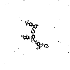 CC(Oc1ccc(SNC(=O)c2ccc(N3CCN(CC4=C(c5ccc(C(F)(F)F)cc5)CC(C)(C)CC4)CC3)cc2Oc2cnc3[nH]ccc3c2)cc1[N+](=O)[O-])C1CCOCC1